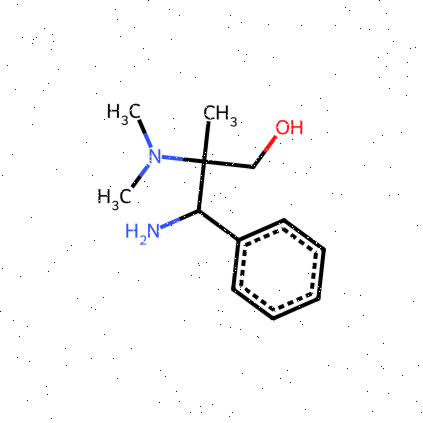 CN(C)C(C)(CO)C(N)c1ccccc1